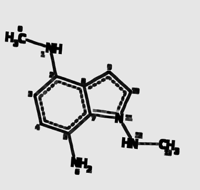 CNc1ccc(N)c2c1ccn2NC